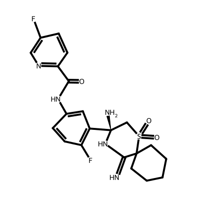 N=C1N[C@](N)(c2cc(NC(=O)c3ccc(F)cn3)ccc2F)CS(=O)(=O)C12CCCCC2